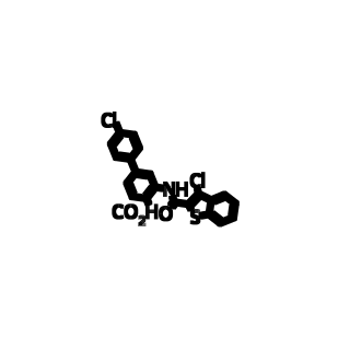 O=C(O)c1ccc(-c2ccc(Cl)cc2)cc1NC(=O)c1sc2ccccc2c1Cl